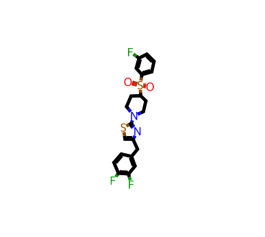 O=S(=O)(c1cccc(F)c1)C1CCN(c2nc(Cc3ccc(F)c(F)c3)cs2)CC1